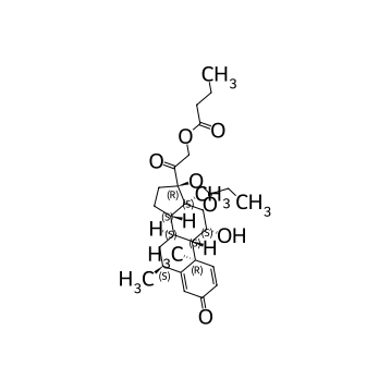 CCCC(=O)OCC(=O)[C@@]1(OC(=O)CC)CC[C@H]2[C@@H]3C[C@H](C)C4=CC(=O)C=C[C@]4(C)[C@H]3[C@@H](O)C[C@@]21C